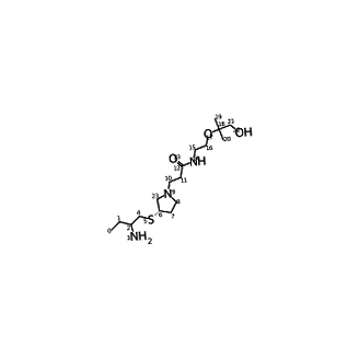 CCC(N)CS[C@H]1CCN(CCC(=O)NCCOC(C)(C)CO)C1